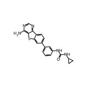 Nc1ncnc2c1sc1cc(-c3cccc(NC(=O)NC4CC4)c3)ccc12